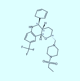 CCS(=O)(=O)N1CCN(C[C@H]2CC[C@@H]3[C@H](O2)c2cc(C(F)(F)F)ccc2N[C@H]3C2C=CC=CC2)CC1